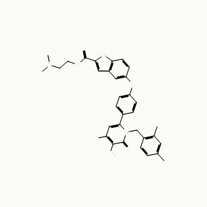 Cc1ccc(Cn2c(-c3ccc(Oc4ccc5[nH]c(C(=O)OCCN(C)C)cc5c4)cc3)cc(C(F)(F)F)c(C#N)c2=O)c(C)c1